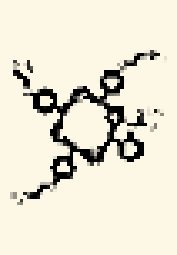 CCCCCCC(CCC)Oc1ccccc1-c1c2nc(c(-c3ccc(OCCN)cc3)c3ccc([nH]3)c(-c3ccc(OCCN)cc3)c3nc(c(-c4ccc(OCCN)cc4)c4ccc1[nH]4)C=C3)C=C2